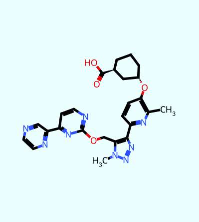 Cc1nc(-c2nnn(C)c2COc2nccc(-c3cnccn3)n2)ccc1O[C@H]1CCC[C@H](C(=O)O)C1